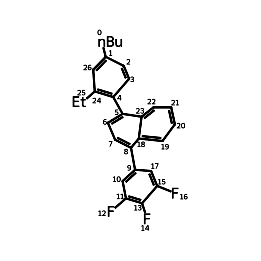 CCCCc1ccc(-c2ccc(-c3cc(F)c(F)c(F)c3)c3ccccc23)c(CC)c1